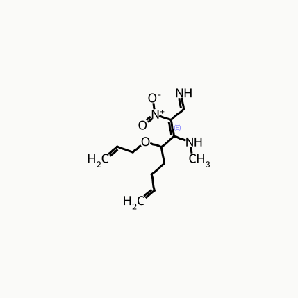 C=CCCC(OCC=C)/C(NC)=C(/C=N)[N+](=O)[O-]